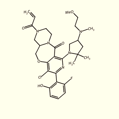 C=CC(=O)N1CCN2C(=O)c3c(N4CC(N(C)CCOC)CC4(C)C)nc(-c4c(O)cccc4F)c(Cl)c3OCC2C1